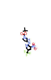 CC(C)(C)OC(=O)N1CC[C@@H](Nc2ncc(C(F)(F)F)cc2[N+](=O)[O-])C1